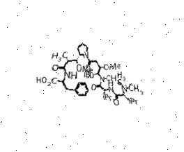 CC[C@H](C)C([C@@H](CC(=O)N1CCC[C@H]1C(OC)[C@@H](C)C(=O)N[C@@H](Cc1ccccc1)C(=O)O)OC)N(C)C(=O)[C@@H](NC(=O)[C@H](C(C)C)N(C)C)C(C)C